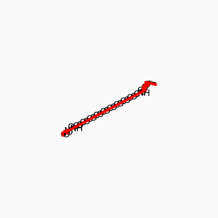 CC(C)CCC[C@@H](C)[C@H]1CCC2C3CC=C4C[C@@H](OC(=O)NCCOCCOCCOCCOCCOCCOCCOCCOCCOCCOCCOCCOCCOCCOCCOCCOCCOCCOCCOCCNC(=O)CCC(=O)[N][C@H](C=O)Cc5ccccc5)CC[C@]4(C)C3CC[C@@]21C